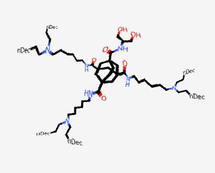 CCCCCCCCCCCCN(CCCCCCCCCCCC)CCCCCCNC(=O)C12CC3(C(=O)NCCCCCCN(CCCCCCCCCCCC)CCCCCCCCCCCC)CC(C(=O)NCCCCCCN(CCCCCCCCCCCC)CCCCCCCCCCCC)(C1)CC(C(=O)NC(CO)CO)(C2)C3